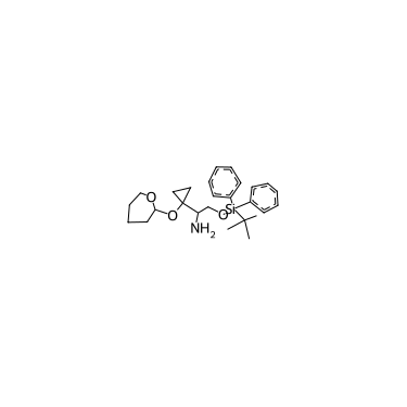 CC(C)(C)[Si](OCC(N)C1(OC2CCCCO2)CC1)(c1ccccc1)c1ccccc1